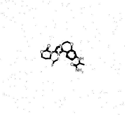 CC(Nc1ccc2c(c1)OCCn1cc(N3C(=O)OCC[C@H]3C(F)F)nc1-2)C(N)=O